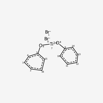 [Br-].[Br-].c1ccc([O][Ti+2][O]c2ccccc2)cc1